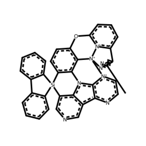 Cc1cc2n(n1)[N+]13c4c(ccc5c4-n4c6c(cncc6c6ncc[n+]1c64)[Si]51c4ccccc4-c4ccccc41)Oc1cccc-2[n+]13